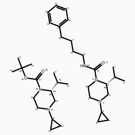 CC(C)[C@@H]1CN(C2CC2)CCN1C(=O)NCCCCc1ccccc1.CC(C)[C@@H]1CN(C2CC2)CCN1C(=O)OC(C)(C)C